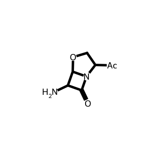 CC(=O)C1COC2C(N)C(=O)N12